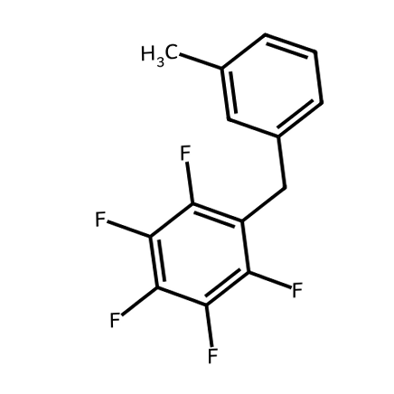 Cc1cccc(Cc2c(F)c(F)c(F)c(F)c2F)c1